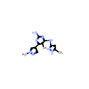 Cc1cc(Nc2nc(N)nc(-c3cnn(C)c3)c2C)n[nH]1